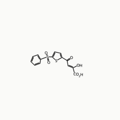 O=C(O)C(O)=CC(=O)c1ccc(S(=O)(=O)c2ccccc2)s1